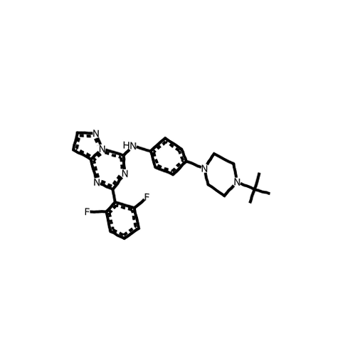 CC(C)(C)N1CCN(c2ccc(Nc3nc(-c4c(F)cccc4F)nc4ccnn34)cc2)CC1